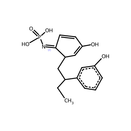 CCC(CC1C=C(O)C=C/C1=N\P(=O)(O)O)c1cccc(O)c1